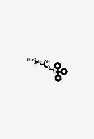 CC(C)(C)OC(=O)NC[C@@H](O)COCCOC(c1ccccc1)(c1ccccc1)c1ccccc1